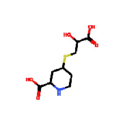 O=C(O)C(O)CSC1CCNC(C(=O)O)C1